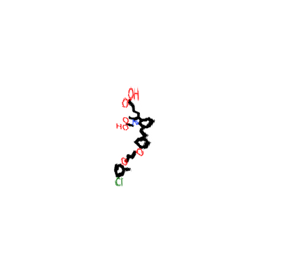 Cc1cc(Cl)ccc1OCC=CCOc1ccc(C=Cc2cccc3c(CCCC(=O)O)c(C)n(CC(=O)O)c23)cc1